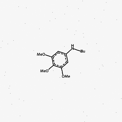 CCC(C)Nc1cc(OC)c(OC)c(OC)c1